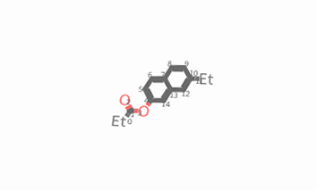 CCC(=O)Oc1ccc2ccc(CC)cc2c1